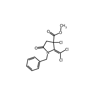 COC(=O)C1(Cl)CC(=O)N(Cc2ccccc2)C1=C(Cl)Cl